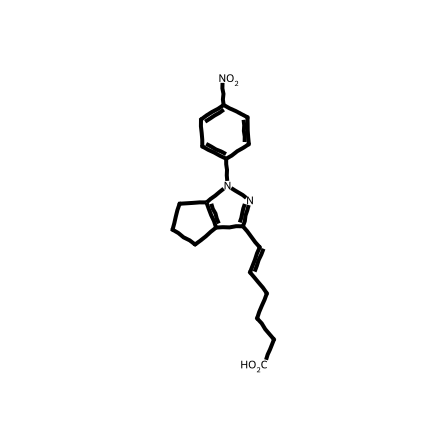 O=C(O)CCCC=Cc1nn(-c2ccc([N+](=O)[O-])cc2)c2c1CCC2